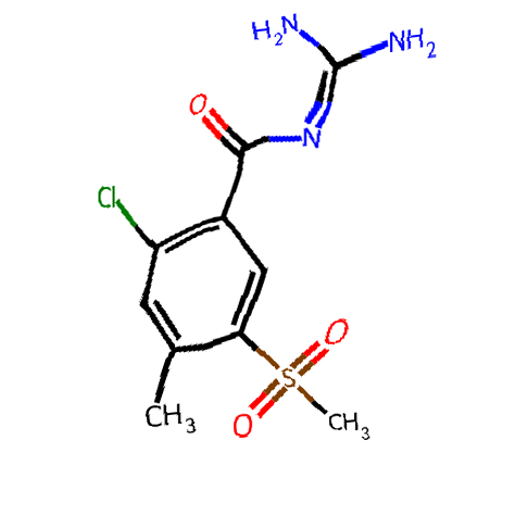 Cc1cc(Cl)c(C(=O)N=C(N)N)cc1S(C)(=O)=O